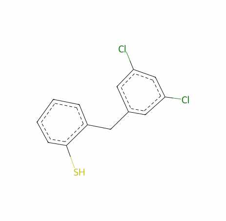 Sc1ccccc1Cc1cc(Cl)cc(Cl)c1